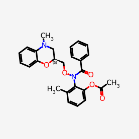 CC(=O)Oc1cccc(C)c1N(OC[C@@H]1CN(C)c2ccccc2O1)C(=O)c1ccccc1